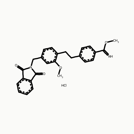 COC(=N)c1ccc(CCc2ccc(CN3C(=O)c4ccccc4C3=O)cc2OC)cc1.Cl